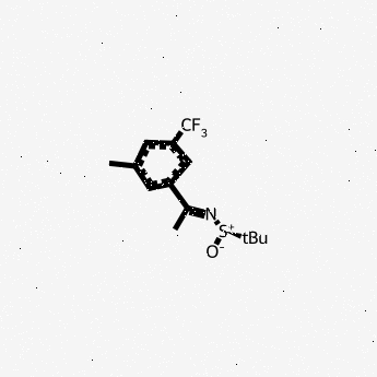 CC(=N[S@+]([O-])C(C)(C)C)c1cc(C)cc(C(F)(F)F)c1